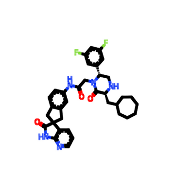 O=C(CN1C(=O)[C@H](CC2CCCCCC2)NC[C@H]1c1cc(F)cc(F)c1)Nc1ccc2c(c1)CC1(C2)C(=O)Nc2ncccc21